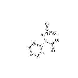 O=[N+]([O-])C(O[SH](=O)=O)c1ccccc1